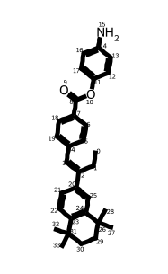 CCC(=Cc1ccc(C(=O)Oc2ccc(N)cc2)cc1)c1ccc2c(c1)C(C)(C)CCC2(C)C